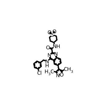 Cc1noc(C)c1-c1ccc2nc(C(=O)NC3CCS(=O)(=O)CC3)nc(NCc3cccc(Cl)c3)c2c1